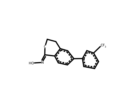 O/N=C1\CCCc2cc(-c3cccc(C(F)(F)F)c3)ccc21